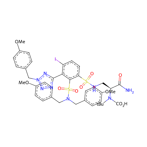 COc1ccc(CN(Cc2ccc(OC)cc2)S(=O)(=O)c2c(S(=O)(=O)NC[C@@H](C(N)=O)N(C(=O)O)C(C)(C)C)ccc(I)c2-c2nnn(Cc3ccc(OC)cc3)n2)cc1